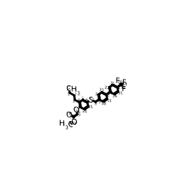 CCCCc1cc(SCc2ccc(-c3ccc(C(F)(F)F)cc3)cc2)ccc1OCC(=O)OC